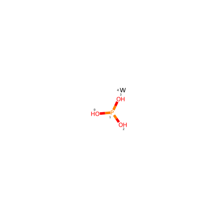 OP(O)O.[W]